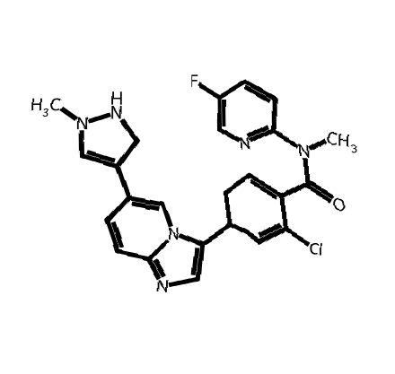 CN1C=C(c2ccc3ncc(C4C=C(Cl)C(C(=O)N(C)c5ccc(F)cn5)=CC4)n3c2)CN1